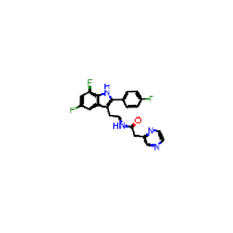 O=C(Cc1cnccn1)NCCc1c(-c2ccc(F)cc2)[nH]c2c(F)cc(F)cc12